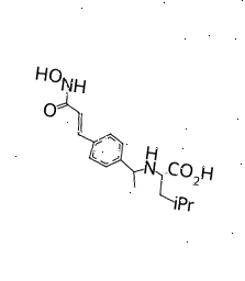 CC(C)C[C@H](NC(C)c1ccc(C=CC(=O)NO)cc1)C(=O)O